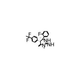 C=C1[C@H](c2ccc(C(C)(F)F)cc2)[C@@](C)(c2ccccc2F)NC(=N)N1C